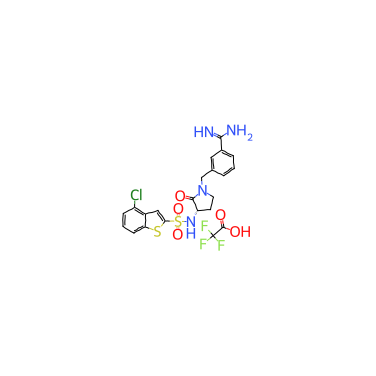 N=C(N)c1cccc(CN2CC[C@H](NS(=O)(=O)c3cc4c(Cl)cccc4s3)C2=O)c1.O=C(O)C(F)(F)F